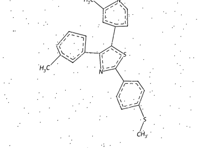 CSc1ccc(-c2nc(-c3cccc(C)c3)c(-c3ccnc(C)c3)s2)cc1